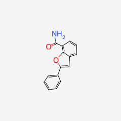 NC(=O)c1cccc2cc(-c3ccccc3)oc12